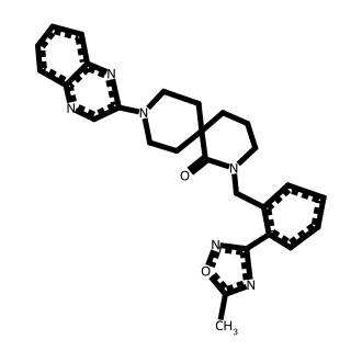 Cc1nc(-c2ccccc2CN2CCCC3(CCN(c4cnc5ccccc5n4)CC3)C2=O)no1